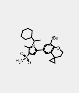 Cc1c(S(N)(=O)=O)cc(-c2cc(C(C)(C)C)c3c(c2)C2(CCO3)CC2)n1C(C)C1CCCCC1